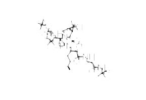 C=CCCC(NC(=O)[C@@H]1C2C(CN1C(=O)C(NC(=O)OC(C)(C)C)C(C)(C)C)C2(Cl)Cl)C(=O)C(=O)NCCC(=O)NC(C)(C)C